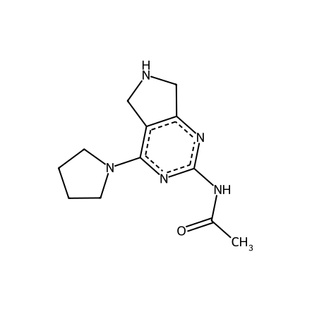 CC(=O)Nc1nc2c(c(N3CCCC3)n1)CNC2